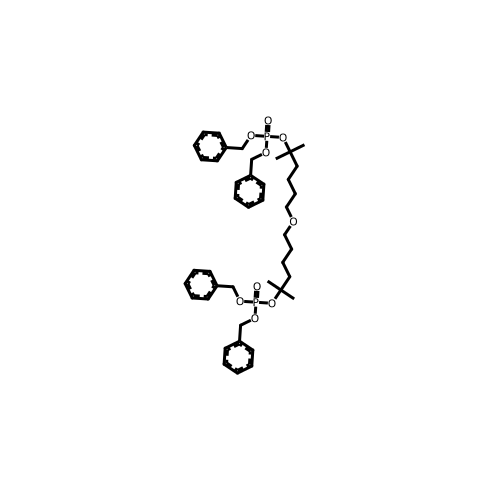 CC(C)(CCCCOCCCCC(C)(C)OP(=O)(OCc1ccccc1)OCc1ccccc1)OP(=O)(OCc1ccccc1)OCc1ccccc1